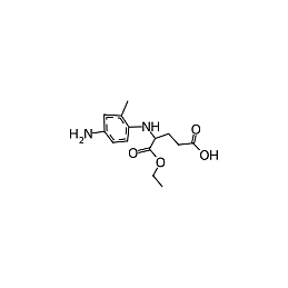 CCOC(=O)C(CCC(=O)O)Nc1ccc(N)cc1C